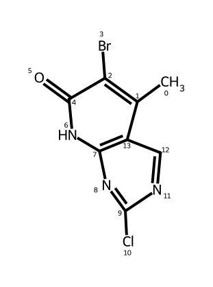 Cc1c(Br)c(=O)[nH]c2nc(Cl)ncc12